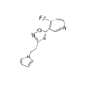 FC(F)(F)c1ccncc1-c1nc(CCn2cccc2)no1